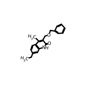 CCc1ccc2c(C)c(COCc3ccccc3)c(=O)[nH]c2c1